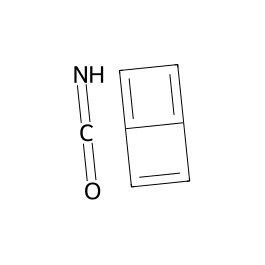 N=C=O.c1cc2ccc1-2